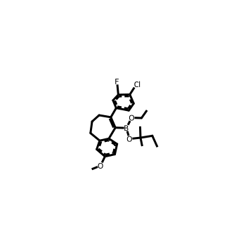 CCOB(OC(C)(C)CC)C1=C(c2ccc(Cl)c(F)c2)CCCc2cc(OC)ccc21